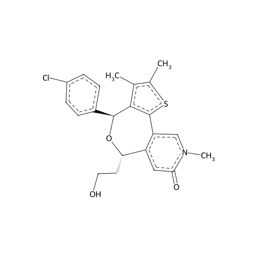 Cc1sc2c(c1C)[C@H](c1ccc(Cl)cc1)O[C@@H](CCO)c1cc(=O)n(C)cc1-2